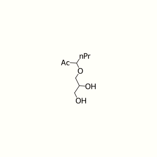 [CH2]CCC(OCC(O)CO)C(C)=O